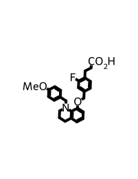 COc1ccc(CN2CCCc3cccc(OCc4ccc(CCC(=O)O)c(F)c4)c32)cc1